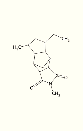 CCC1CC(C)C2C3CC(C4C(=O)N(C)C(=O)C34)C12